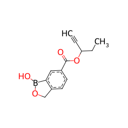 C#CC(CC)OC(=O)c1ccc2c(c1)B(O)OC2